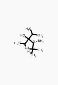 CC(C)C(O)(C(C)C)[C@H](N)C(C)(C)C